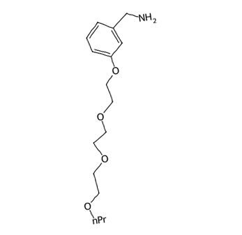 CCCOCCOCCOCCOc1cccc(CN)c1